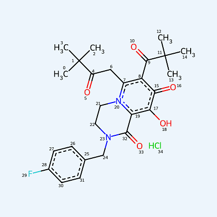 CC(C)(C)C(=O)Cc1c(C(=O)C(C)(C)C)c(=O)c(O)c2n1CCN(Cc1ccc(F)cc1)C2=O.Cl